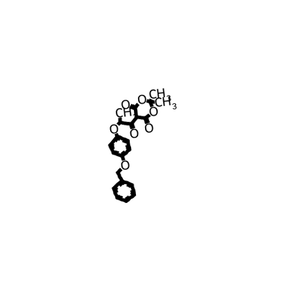 CC(Oc1ccc(OCc2ccccc2)cc1)C(=O)C1C(=O)OC(C)(C)OC1=O